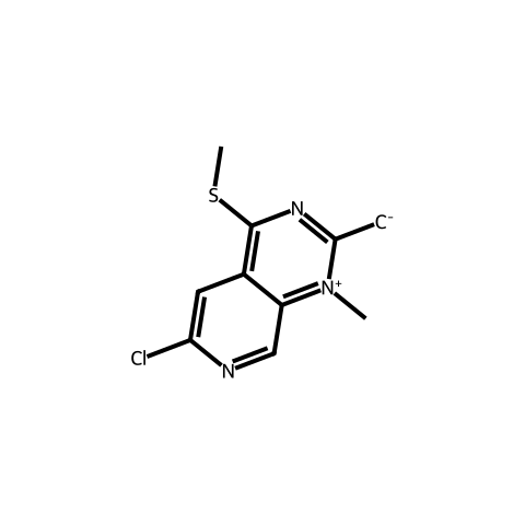 [CH2-]c1nc(SC)c2cc(Cl)ncc2[n+]1C